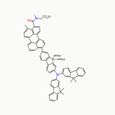 CCCCCCC1(CCCCCC)c2cc(-c3ccc4c5ccc(C(=O)N(C)CC(=O)O)c6c(C)ccc(c7cccc3c74)c65)ccc2-c2ccc(N(c3ccc4c(c3)C(C)(C)c3ccccc3-4)c3ccc4c(c3)C(C)(C)c3ccccc3-4)cc21